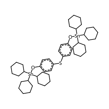 c1cc(Sc2ccc([O][Sn]([CH]3CCCCC3)([CH]3CCCCC3)[CH]3CCCCC3)cc2)ccc1[O][Sn]([CH]1CCCCC1)([CH]1CCCCC1)[CH]1CCCCC1